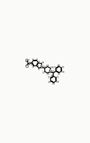 O=[N+]([O-])c1ccc2c(c1)CN(C1CCN(C(c3ccccc3)c3ccccc3)CC1)C2